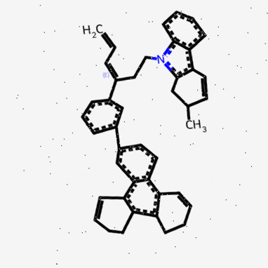 C=C/C=C(\CCn1c2c(c3ccccc31)C=CC(C)C2)c1cccc(-c2ccc3c4c(c5c(c3c2)C=CCC5)CCC=C4)c1